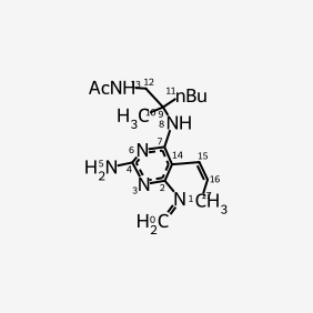 C=Nc1nc(N)nc(NC(C)(CCCC)CNC(C)=O)c1/C=C\C